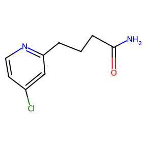 NC(=O)CCCc1cc(Cl)ccn1